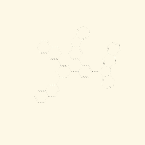 c1ccc2cc(C3=NC(c4ccc(-n5c6ccccc6c6cc7ccccc7cc65)cc4-c4ccc5sc6ccccc6c5c4)=NC(c4ccc5ccccc5c4)N3)ccc2c1